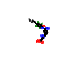 C=CCc1c(F)c(F)c(C(=O)NC(=N)c2ccc(CNCCC(=O)O)cc2)c(F)c1F